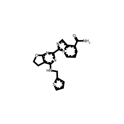 NC(=O)c1cccn2c(-c3nc(NCc4cccs4)c4c(n3)OCC4)ncc12